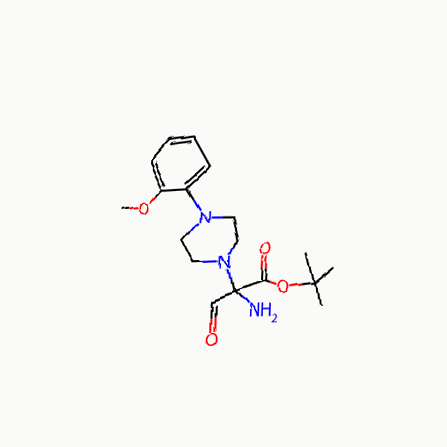 COc1ccccc1N1CCN(C(N)(C=O)C(=O)OC(C)(C)C)CC1